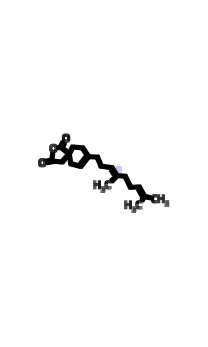 CC(C)=CCC/C(C)=C/CCC1=CCC2(CC1)CC(=O)OC2=O